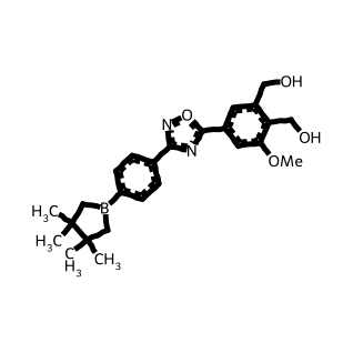 COc1cc(-c2nc(-c3ccc(B4CC(C)(C)C(C)(C)C4)cc3)no2)cc(CO)c1CO